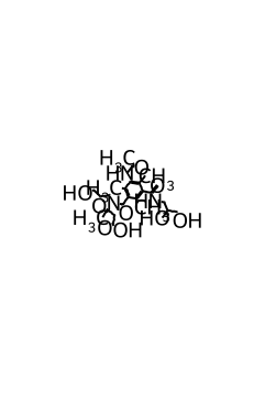 CC(=O)Nc1c(C)c(C(=O)NCC(O)CO)c(C)c(C(=O)N2CC(CO)OC2(C)CC(=O)O)c1C